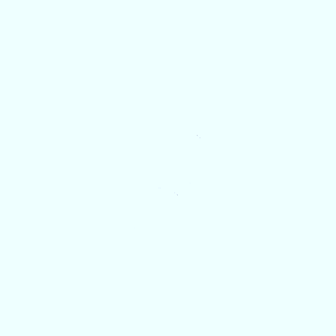 O=C(Nc1cccc(N2CCCC2)c1)c1ccccc1